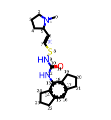 CN1CCCC1/C=C/SNC(=O)Nc1c2c(cc3c1CCC3)CCC2